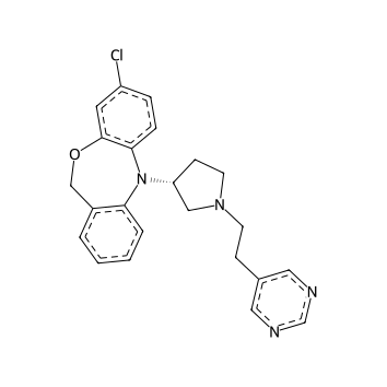 Clc1ccc2c(c1)OCc1ccccc1N2[C@@H]1CCN(CCc2cncnc2)C1